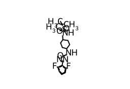 CC(C)(C)S(=O)(=O)NCC1CCC(Nc2nc(-c3c(F)cccc3F)no2)CC1